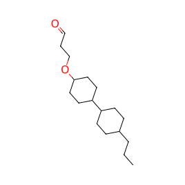 CCCC1CCC(C2CCC(OCCC=O)CC2)CC1